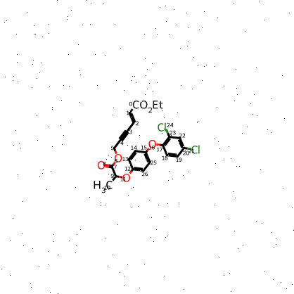 CCOC(=O)C=CC#CCOC(=O)C(C)Oc1ccc(Oc2ccc(Cl)cc2Cl)cc1